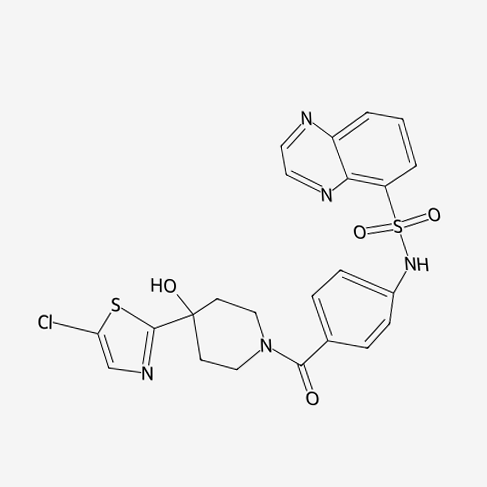 O=C(c1ccc(NS(=O)(=O)c2cccc3nccnc23)cc1)N1CCC(O)(c2ncc(Cl)s2)CC1